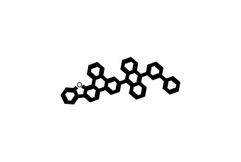 c1ccc(-c2cccc(-c3c4ccccc4c(-c4ccc5c(c4)c4ccccc4c4c5ccc5c6ccccc6oc54)c4ccccc34)c2)cc1